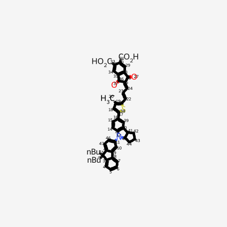 CCCCC1(CCCC)c2ccccc2-c2cc(N3c4ccc(-c5cc(C)c(/C=C/C=C6C(=O)c7cc(C(=O)O)c(C(=O)O)cc7C6=O)s5)cc4C4CCCC43)ccc21